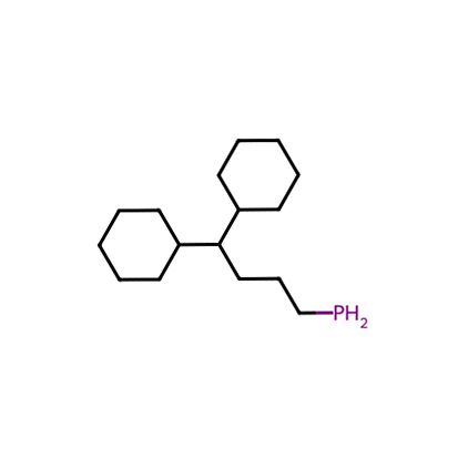 PCCCC(C1CCCCC1)C1CCCCC1